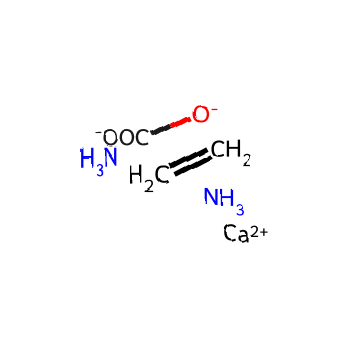 C=C.N.N.O=C([O-])[O-].[Ca+2]